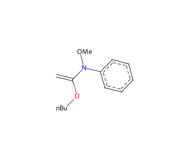 C=C(OCCCC)N(OC)c1ccccc1